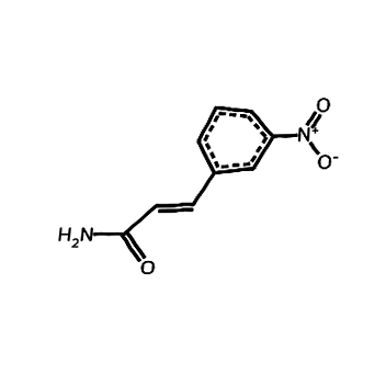 NC(=O)C=Cc1cccc([N+](=O)[O-])c1